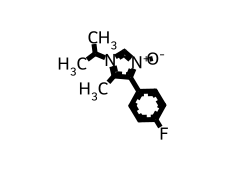 Cc1c(-c2ccc(F)cc2)[n+]([O-])cn1C(C)C